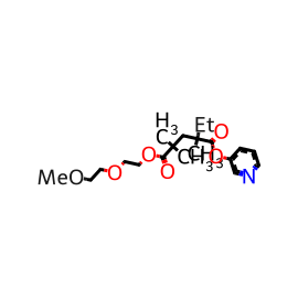 CCC(C)(CC(C)(C)C(=O)OCCOCCOC)C(=O)Oc1cccnc1